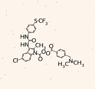 Cc1c(NC(=O)Nc2ccc(SC(F)(F)F)cc2)c2cc(Cl)ccc2n1C(=O)OOC(=O)c1ccc(CN(C)C)cc1